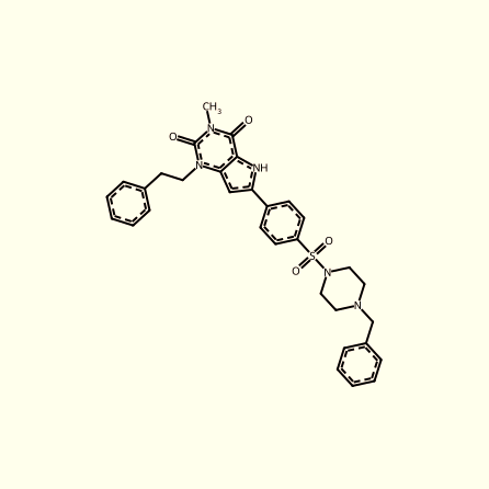 Cn1c(=O)c2[nH]c(-c3ccc(S(=O)(=O)N4CCN(Cc5ccccc5)CC4)cc3)cc2n(CCc2ccccc2)c1=O